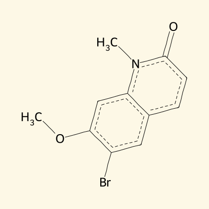 COc1cc2c(ccc(=O)n2C)cc1Br